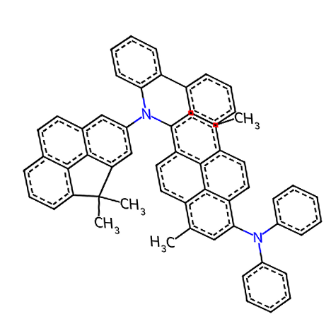 Cc1cc(N(c2ccccc2)c2ccccc2)c2ccc3c(C)cc(N(c4cc5c6c(ccc7cccc(c76)C5(C)C)c4)c4ccccc4-c4ccccc4)c4ccc1c2c34